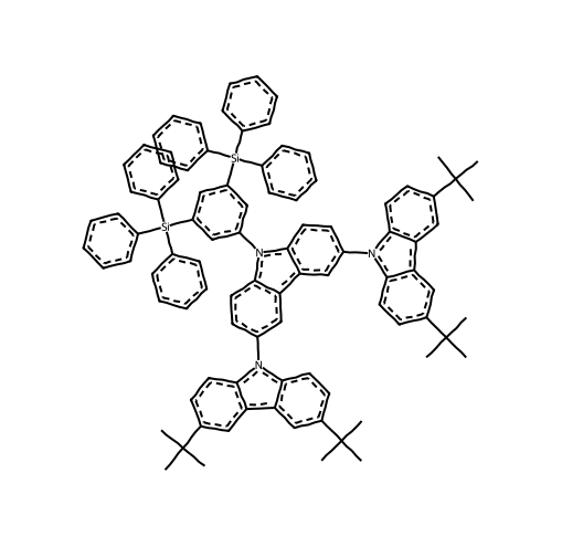 CC(C)(C)c1ccc2c(c1)c1cc(C(C)(C)C)ccc1n2-c1ccc2c(c1)c1cc(-n3c4ccc(C(C)(C)C)cc4c4cc(C(C)(C)C)ccc43)ccc1n2-c1cc([Si](c2ccccc2)(c2ccccc2)c2ccccc2)cc([Si](c2ccccc2)(c2ccccc2)c2ccccc2)c1